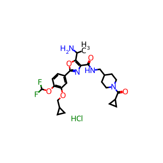 CC(N)c1oc(-c2ccc(OC(F)F)c(OCC3CC3)c2)nc1C(=O)NCC1CCN(C(=O)C2CC2)CC1.Cl